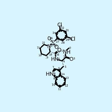 CNC(=O)[C@H](Cc1c[nH]c2ccccc12)NC(=O)[C@@H]1CCCCN1S(=O)(=O)c1cc(Cl)cc(Cl)c1